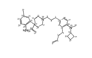 C=CCCc1cc(CCCN2CCC3(CC2)C(=C)Nc2ccc(C)cc23)ccc1N(C)C1CCC1